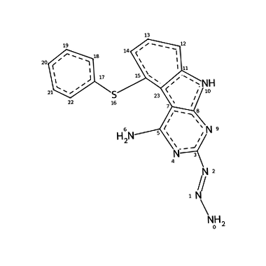 NN=Nc1nc(N)c2c(n1)[nH]c1cccc(Sc3ccccc3)c12